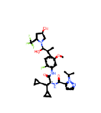 COc1cc(NC(=O)[C@@H](NC(=O)c2ccnn2C(C)C)C(C2CC2)C2CC2)c(F)cc1C(C)C(O)N1CC(O)CC1C(F)(F)F